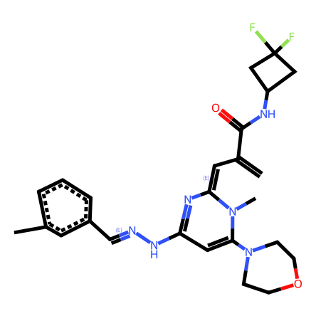 C=C(/C=C1/N=C(N/N=C/c2cccc(C)c2)C=C(N2CCOCC2)N1C)C(=O)NC1CC(F)(F)C1